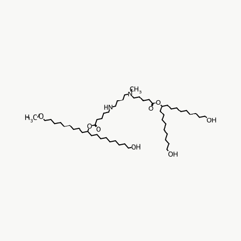 COCCCCCCCCCC(CCCCCCCCCO)OC(=O)CCCCNCCCCN(C)CCCCC(=O)OC(CCCCCCCCCO)CCCCCCCCCO